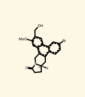 COc1cc2c3c(c4ccc(Br)cc4c2cc1CO)C[C@@H]1CCC(=O)N1C3